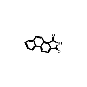 O=C1NC(=O)c2c1ccc1c2ccc2ccccc21